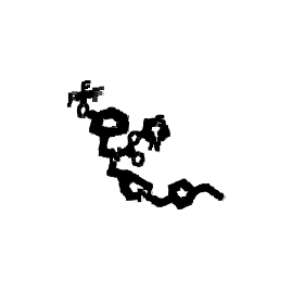 CCc1ccc(CN2CC3C(C2)C3CN(Cc2cccc(OC(F)(F)F)c2)C(=O)Oc2cscn2)cc1